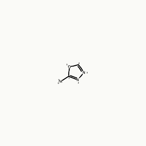 [2H]c1nnco1